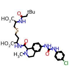 CN1CCc2cc(NC(=O)Nc3ccc(Cl)cc3)ccc2C1C(=O)NC(CCSCC(NC(=O)CC(C)(C)C)C(=O)O)C(=O)O